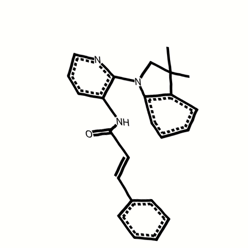 CC1(C)CN(c2ncccc2NC(=O)C=Cc2ccccc2)c2ccccc21